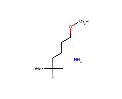 CCCCCCC(C)(C)CCCCOS(=O)(=O)O.N